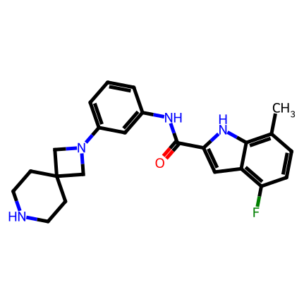 Cc1ccc(F)c2cc(C(=O)Nc3cccc(N4CC5(CCNCC5)C4)c3)[nH]c12